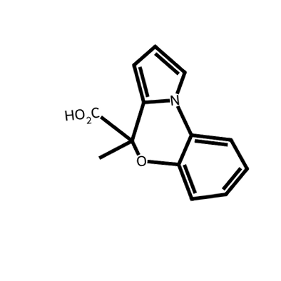 CC1(C(=O)O)Oc2ccccc2-n2cccc21